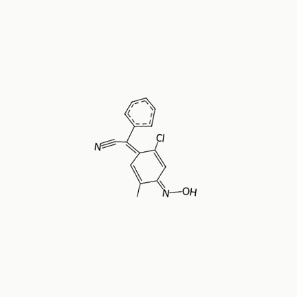 CC1=CC(=C(C#N)c2ccccc2)C(Cl)=CC1=NO